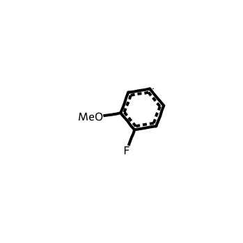 COc1c[c]ccc1F